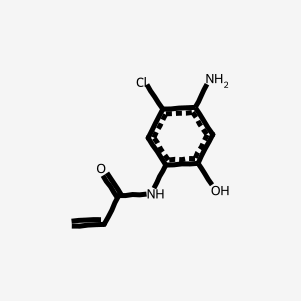 C=CC(=O)Nc1cc(Cl)c(N)cc1O